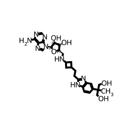 CC(CO)(CO)c1ccc2[nH]c(CCC3CC(NC[C@H]4O[C@@H](n5cnc6c(N)ncnc65)[C@H](O)[C@@H]4O)C3)nc2c1